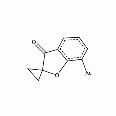 CC(=O)c1cccc2c1OC1(CC1)C2=O